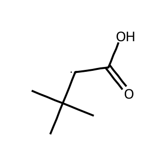 CC(C)(C)[CH]C(=O)O